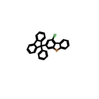 Clc1cc(C2(c3ccccc3)c3ccccc3-c3ccccc32)cc2sc3ccccc3c12